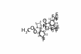 COC(=O)[C@@H]1CC[C@H](N(C)C(=O)c2cc(C(F)(F)F)cc(C(F)(F)F)c2)[C@H]1c1ccc(F)cc1